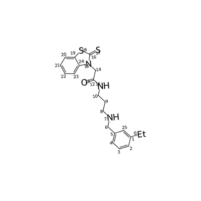 CCc1cccc(CNCCCNC(=O)Cn2c(=S)sc3ccccc32)c1